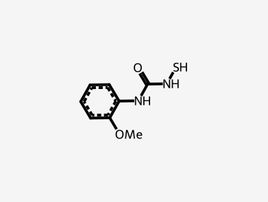 COc1ccccc1NC(=O)NS